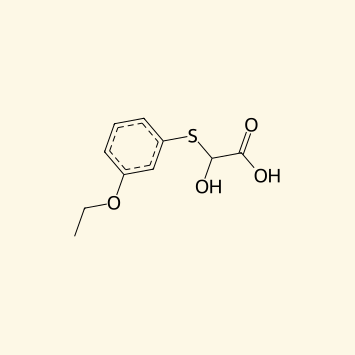 CCOc1cccc(SC(O)C(=O)O)c1